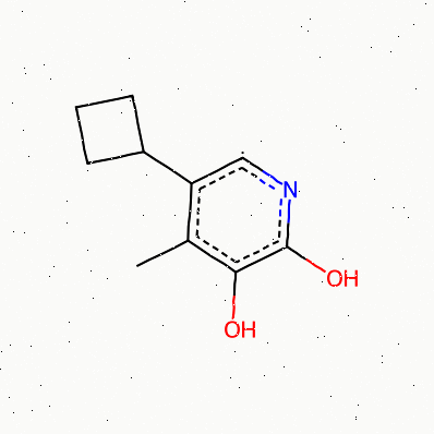 Cc1c(C2CCC2)[c]nc(O)c1O